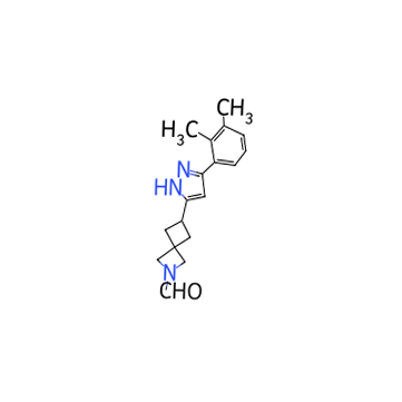 Cc1cccc(-c2cc(C3CC4(C3)CN(C=O)C4)[nH]n2)c1C